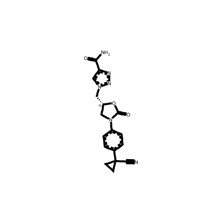 N#CC1(c2ccc(N3C[C@H](Cn4cc(C(N)=O)nn4)OC3=O)cc2)CC1